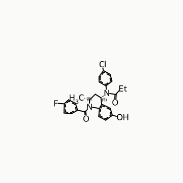 CCC(=O)N(c1ccc(Cl)cc1)[C@H]1C[C@@H](C)N(C(=O)c2ccc(F)cc2)c2ccc(O)cc21